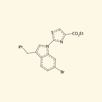 CCOC(=O)c1csc(-n2cc(CC(C)C)c3ccc(Br)cc32)n1